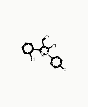 O=Cc1c(-c2ccccc2Cl)nn(-c2ccc(F)cc2)c1Cl